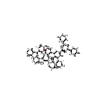 C1=CC2c3c(ccc4c3oc3ccc5c6ccccc6n(-c6ccccc6)c5c34)N(c3c(-c4ccccc4)cc(-c4nc(-c5ccccc5)nc(-c5ccccc5)n4)cc3-c3ccccc3)C2C=C1